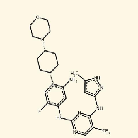 Cc1cc(Nc2nc(Nc3cc(C)c([C@H]4CC[C@@H](N5CCOCC5)CC4)cc3F)ncc2C(F)(F)F)n[nH]1